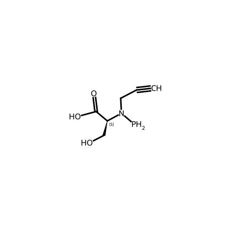 C#CCN(P)[C@@H](CO)C(=O)O